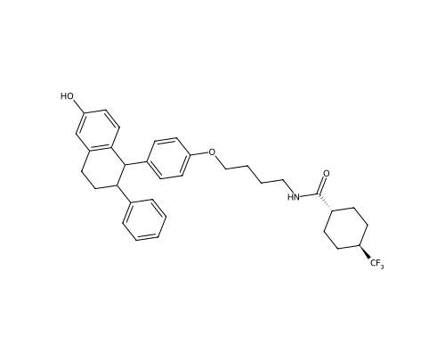 O=C(NCCCCOc1ccc(C2c3ccc(O)cc3CCC2c2ccccc2)cc1)[C@H]1CC[C@H](C(F)(F)F)CC1